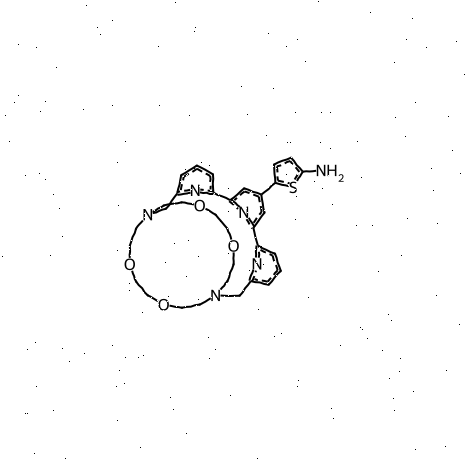 Nc1ccc(-c2cc3nc(c2)-c2cccc(n2)CN2CCOCCOCCN(CCOCCOCC2)Cc2cccc-3n2)s1